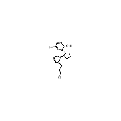 OC1N=CC(F)=CN1[C@@H]1CCCN1c1cccn1CCCCl